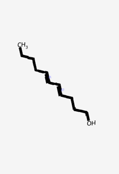 CCCC/C=C/C=C/CCCO